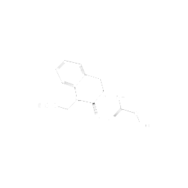 CCOC(=O)CN1C(=O)[C@@H](NC(=O)OC(C)(C)C)Cc2ccccc21